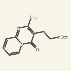 CCCCCCCCCCc1c(C)nc2ccccn2c1=O